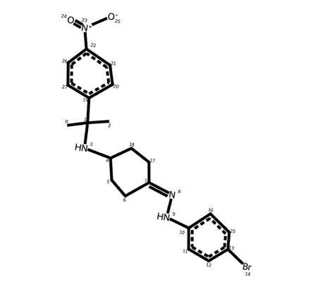 CC(C)(NC1CCC(=NNc2ccc(Br)cc2)CC1)c1ccc([N+](=O)[O-])cc1